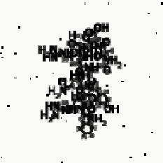 C[C@@H](CO)C(=O)N[C@@H](CC(=O)O)C(=O)N[C@H](C(=O)N[C@@H](CCCNC(=N)N)C(=O)N[C@@H](CCC(N)=O)C(=O)N[C@@H](CCC(N)=O)C(=O)N[C@@H](Cc1ccc(O)cc1)C(=O)N[C@@H](CCCNC(=N)N)C(=O)N[C@@H](Cc1ccccc1)C(N)=O)[C@@H](C)O